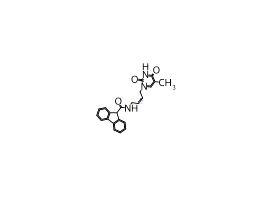 Cc1cn(C/C=C\CNC(=O)C2c3ccccc3-c3ccccc32)c(=O)[nH]c1=O